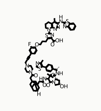 Cc1ncsc1-c1ccc([C@H](C)NC(=O)[C@@H]2C[C@@H](O)CN2C(=O)C(NC(=O)CC23CC4C[C@H](C2)CC(CC(=O)N2CCN(CC#Cc5ccc(OCCCc6sc(N7CCCc8c7nnc(Nc7nc9ccccc9s7)c8C)nc6C(=O)O)c(F)c5)CC2)(C4)C3)C(C)(C)C)cc1